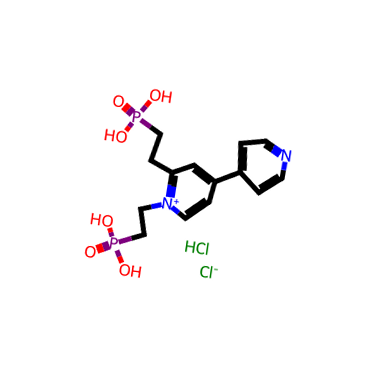 Cl.O=P(O)(O)CCc1cc(-c2ccncc2)cc[n+]1CCP(=O)(O)O.[Cl-]